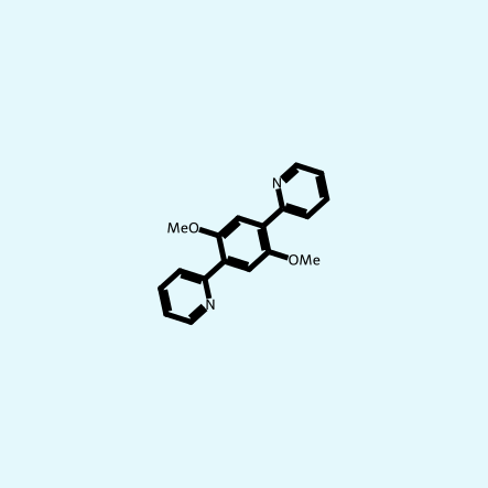 COc1cc(-c2ccccn2)c(OC)cc1-c1ccccn1